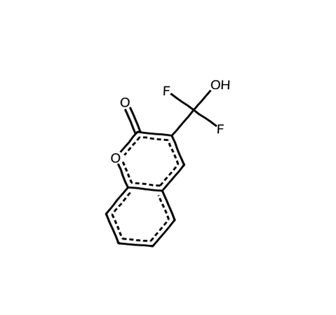 O=c1oc2ccccc2cc1C(O)(F)F